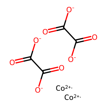 O=C([O-])C(=O)[O-].O=C([O-])C(=O)[O-].[Co+2].[Co+2]